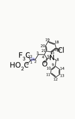 O=C(O)/C(=C/CC1C(=O)N(Cc2ccccc2)c2c(Cl)cccc21)C(F)(F)F